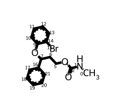 CNC(=O)OCCC(Oc1ccccc1Br)c1ccccc1